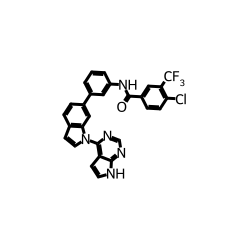 O=C(Nc1cccc(-c2ccc3ccn(-c4ncnc5[nH]ccc45)c3c2)c1)c1ccc(Cl)c(C(F)(F)F)c1